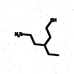 CCC(CCN)CCO